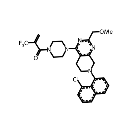 C=C(C(=O)N1CCN(c2nc(COC)nc3c2CCN(c2cccc4cccc(Cl)c24)C3)CC1)C(F)(F)F